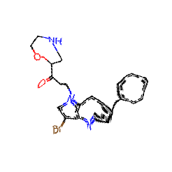 O=C(Cn1cc(Br)c2ncc(-c3ccccc3)cc21)C1CNCCO1